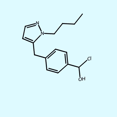 CCCCn1nccc1Cc1ccc(C(O)Cl)cc1